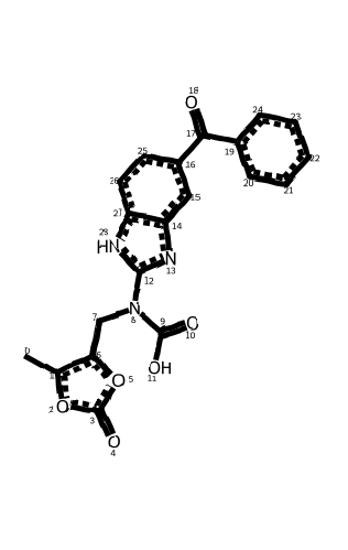 Cc1oc(=O)oc1CN(C(=O)O)c1nc2cc(C(=O)c3ccccc3)ccc2[nH]1